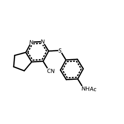 CC(=O)Nc1ccc(Sc2nnc3c(c2C#N)CCC3)cc1